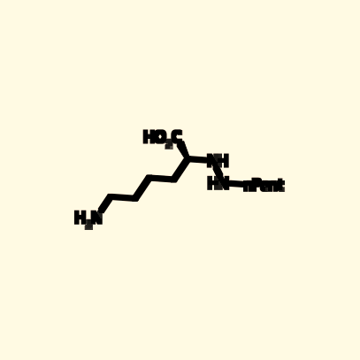 CCCCCNN[C@@H](CCCCN)C(=O)O